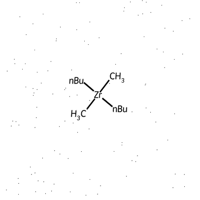 CCC[CH2][Zr]([CH3])([CH3])[CH2]CCC